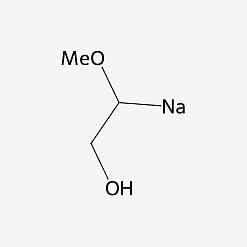 CO[CH]([Na])CO